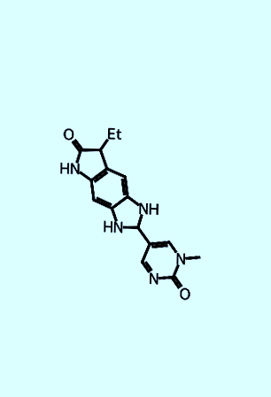 CCC1C(=O)Nc2cc3c(cc21)NC(c1cnc(=O)n(C)c1)N3